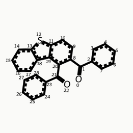 O=C(c1ccccc1)c1ccc2sc3ccccc3c2c1C(=O)c1ccccc1